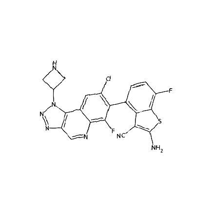 N#Cc1c(N)sc2c(F)ccc(-c3c(Cl)cc4c(ncc5nnn(C6CNC6)c54)c3F)c12